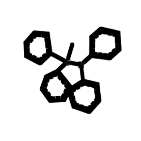 C[Si](c1ccccc1)(c1ccccc1)N(c1ccccc1)c1ccccc1